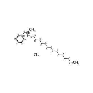 CCCCCCCCCCCCCCC[CH2][SbH+]([CH3])[CH2]c1ccccc1.[Cl-]